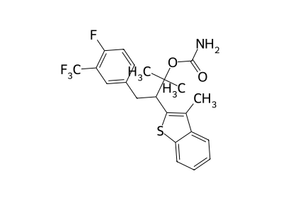 Cc1c(C(Cc2ccc(F)c(C(F)(F)F)c2)C(C)(C)OC(N)=O)sc2ccccc12